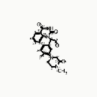 CN1CCN(c2cc(C(C=O)n3c(=O)[nH]c(=O)c4ccccc43)ccc2F)CC1=O